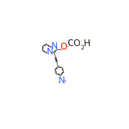 CN(C)c1ccc(C#Cc2c(COCC(=O)O)nc3ccccn23)cc1